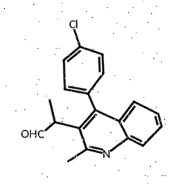 Cc1nc2ccccc2c(-c2ccc(Cl)cc2)c1C(C)C=O